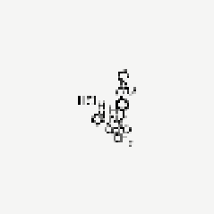 COC(=O)C(Cc1ccc(OC(=O)N2CCCC2)cc1)NC(=O)[C@@H]1CCCN1.Cl